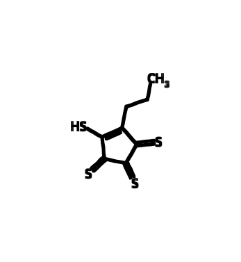 CCCc1c(S)c(=S)c(=S)c1=S